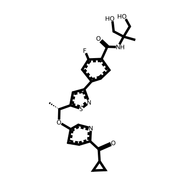 C[C@@H](Oc1ccc(C(=O)C2CC2)nc1)c1cc(-c2ccc(C(=O)NC(C)(CO)CO)c(F)c2)ns1